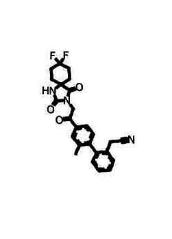 Cc1cc(C(=O)CN2C(=O)NC3(CCC(F)(F)CC3)C2=O)ccc1-c1ccccc1CC#N